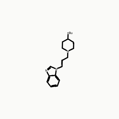 CCCCC1CCN(CCCn2cnc3ccccc32)CC1